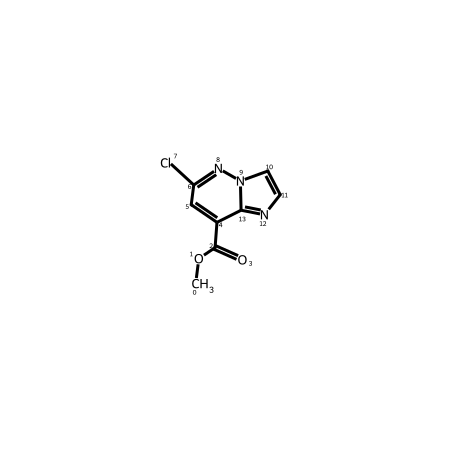 COC(=O)c1cc(Cl)nn2ccnc12